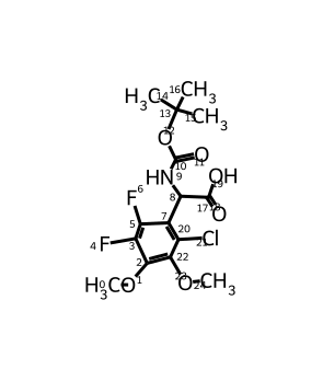 COc1c(F)c(F)c(C(NC(=O)OC(C)(C)C)C(=O)O)c(Cl)c1OC